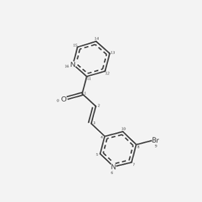 O=C(C=Cc1cncc(Br)c1)c1ccccn1